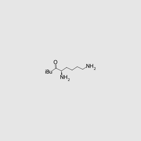 CCC(C)C(=O)[C@H](N)CCCCN